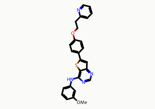 COc1cccc(Nc2ncnc3cc(-c4ccc(OCCc5ccccn5)cc4)sc23)c1